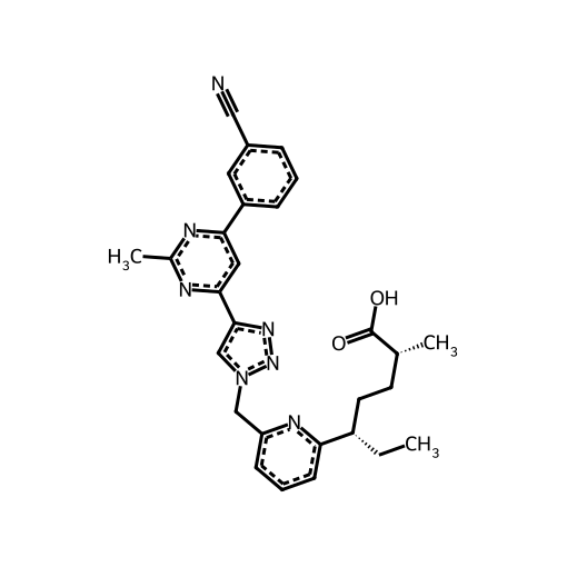 CC[C@@H](CC[C@@H](C)C(=O)O)c1cccc(Cn2cc(-c3cc(-c4cccc(C#N)c4)nc(C)n3)nn2)n1